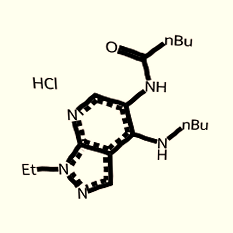 CCCCNc1c(NC(=O)CCCC)cnc2c1cnn2CC.Cl